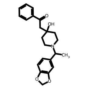 CC(c1ccc2c(c1)OCO2)N1CCC(O)(CC(=O)c2ccccc2)CC1